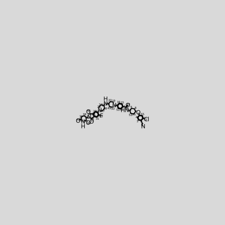 N#Cc1ccc(O[C@H]2CC[C@H](NC(=O)c3ccc(N4CCC(NC5CCN(c6cc7c(cc6F)C(=O)N(C6CCC(=O)NC6=O)C7=O)CC5)CC4)cc3)CC2)cc1Cl